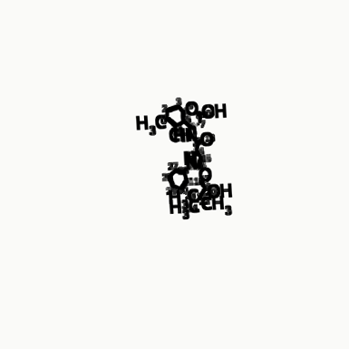 Cc1cccc([C@H](CC(=O)O)NC(=O)c2cc(OC[C@H](O)C(C)(C)C)n(-c3ccccc3)n2)c1C